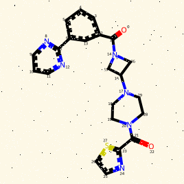 O=C(c1cccc(-c2ncccn2)c1)N1CC(N2CCN(C(=O)c3nccs3)CC2)C1